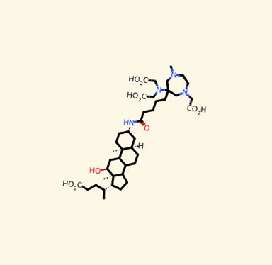 CC(CCC(=O)O)[C@H]1CCC2C3CC[C@@H]4C[C@@H](NC(=O)CCCCC5(N(CC(=O)O)CC(=O)O)CN(C)CCN(CC(=O)O)C5)CC[C@]4(C)C3C[C@H](O)[C@@]21C